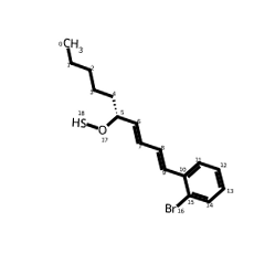 CCCCC[C@H](/C=C/C=C/c1ccccc1Br)OS